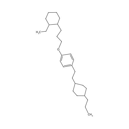 CCCC1CCC(CCc2ccc(OCCCC3CCCCC3CC)cc2)CC1